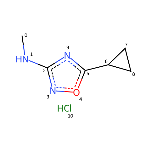 CNc1noc(C2CC2)n1.Cl